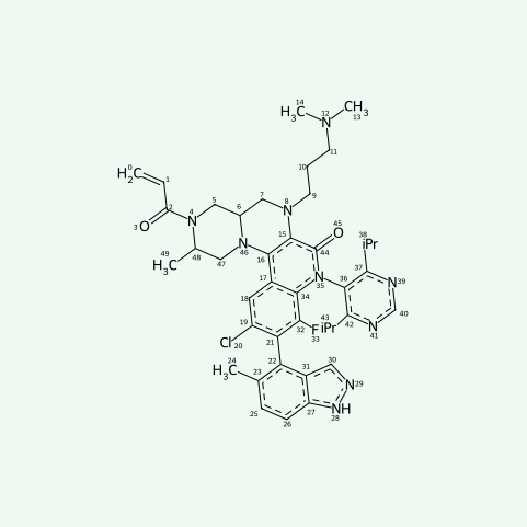 C=CC(=O)N1CC2CN(CCCN(C)C)c3c(c4cc(Cl)c(-c5c(C)ccc6[nH]ncc56)c(F)c4n(-c4c(C(C)C)ncnc4C(C)C)c3=O)N2CC1C